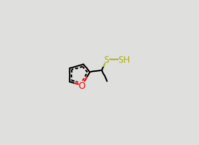 CC(SS)c1ccco1